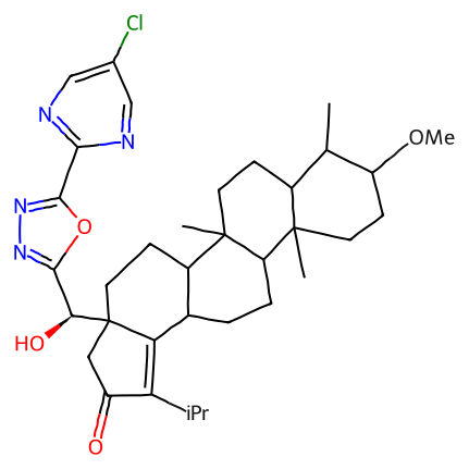 COC1CCC2(C)C(CCC3(C)C4CCC5([C@@H](O)c6nnc(-c7ncc(Cl)cn7)o6)CC(=O)C(C(C)C)=C5C4CCC32)C1C